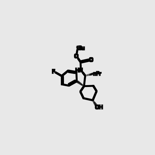 CCC[C@@H](NC(=O)OC(C)(C)C)[C@]1(c2ccc(F)cc2)CC[C@@H](O)CC1